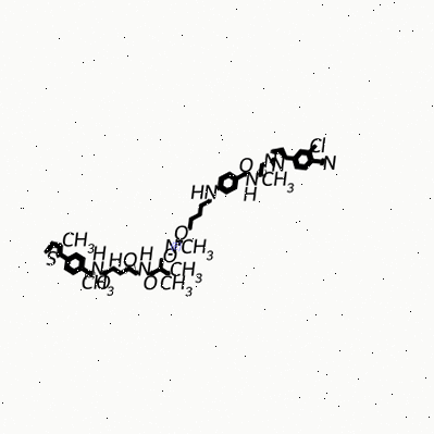 C/C(=N\OCC(C(=O)NC[C@H](O)CCC(=O)N[C@@H](C)c1ccc(-c2sccc2C)cc1)C(C)C)OCCCCCNc1ccc(C(=O)N[C@@H](C)Cn2ccc(-c3ccc(C#N)c(Cl)c3)n2)cc1